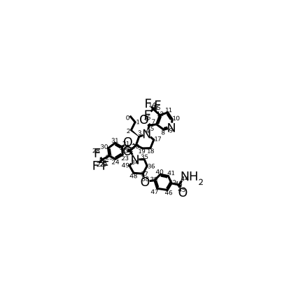 CCC[C@H]1N(C(=O)c2cnccc2C(F)(F)F)CCC[C@@]1(Oc1ccc(C(F)(F)F)cc1)C(=O)N1CCC(Oc2ccc(C(N)=O)cc2)CC1